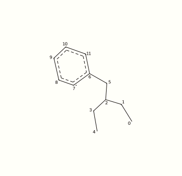 CCC(CC)Cc1[c]cccc1